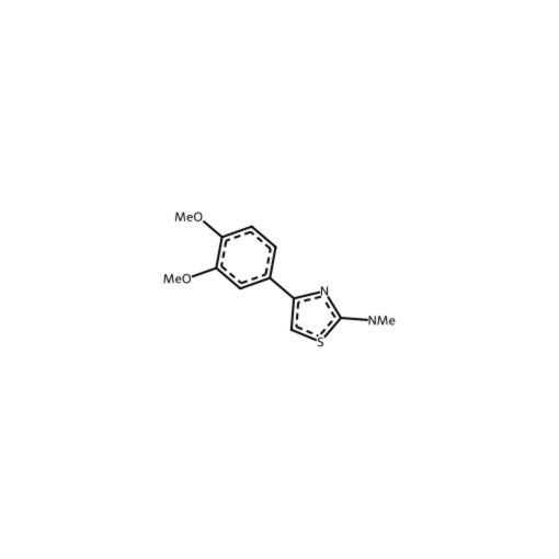 CNc1nc(-c2ccc(OC)c(OC)c2)cs1